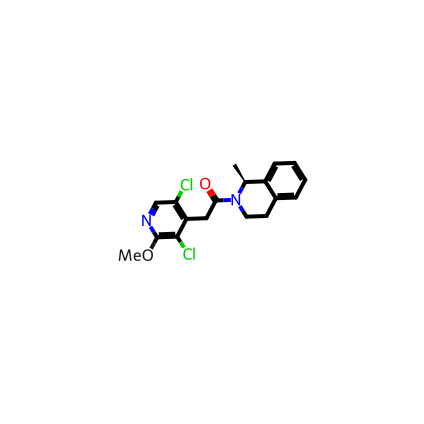 COc1ncc(Cl)c(CC(=O)N2CCc3ccccc3[C@@H]2C)c1Cl